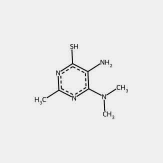 Cc1nc(S)c(N)c(N(C)C)n1